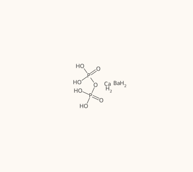 O=P(O)(O)OP(=O)(O)O.[BaH2].[CaH2]